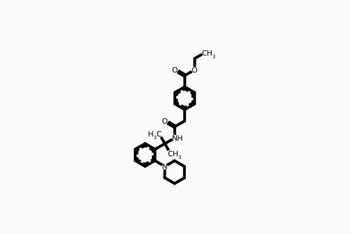 CCOC(=O)c1ccc(CC(=O)NC(C)(C)c2ccccc2N2CCCCC2)cc1